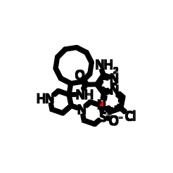 Nc1nn2cc(Cl)cnc2c1C(=O)NC1(C2CCCCCCCCC2)CNCCC1N1CC[S+]([O-])CC1